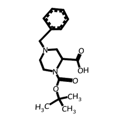 CC(C)(C)OC(=O)N1CCN(Cc2ccccc2)CC1C(=O)O